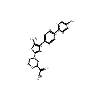 Cc1sc(N2CCOC(C(=O)O)C2)nc1-c1ccc(-c2ccc(F)cc2)cc1